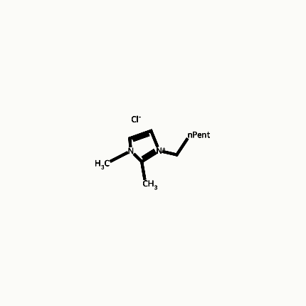 CCCCCC[n+]1ccn(C)c1C.[Cl-]